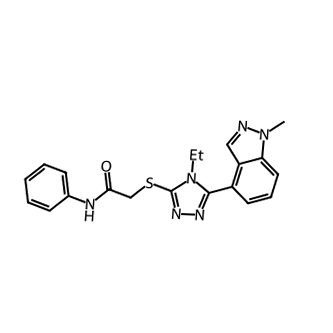 CCn1c(SCC(=O)Nc2ccccc2)nnc1-c1cccc2c1cnn2C